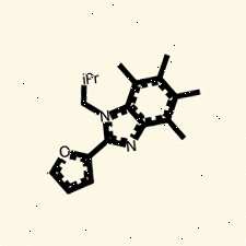 Cc1c(C)c(C)c2c(nc(-c3cc[c]o3)n2CC(C)C)c1C